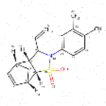 C=CC1[C@@H]2[C@@H]([C@@H]3C=C[C@H]2C3)S(=O)(=O)N1c1ccc(C#N)c(C(F)(F)F)c1